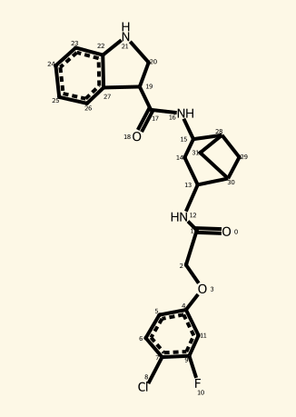 O=C(COc1ccc(Cl)c(F)c1)NC1CC(NC(=O)C2CNc3ccccc32)C2CC1C2